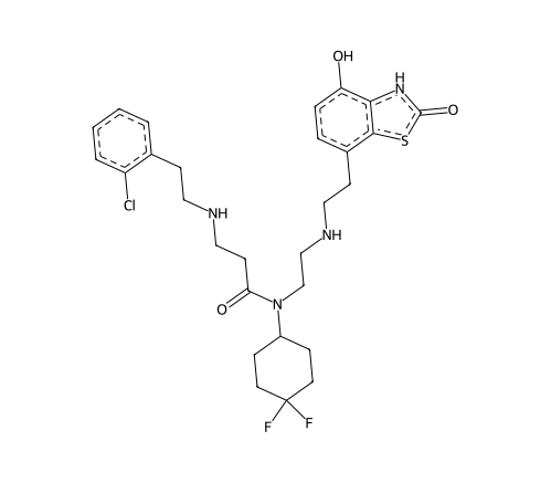 O=C(CCNCCc1ccccc1Cl)N(CCNCCc1ccc(O)c2[nH]c(=O)sc12)C1CCC(F)(F)CC1